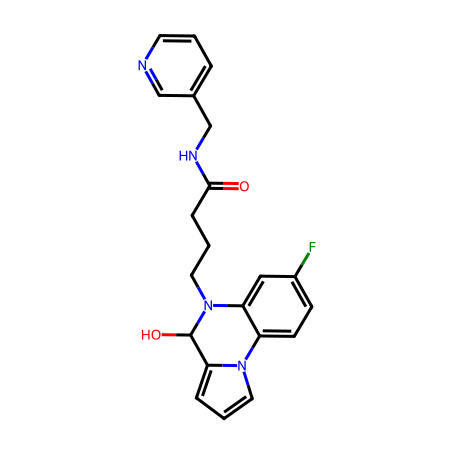 O=C(CCCN1c2cc(F)ccc2-n2cccc2C1O)NCc1cccnc1